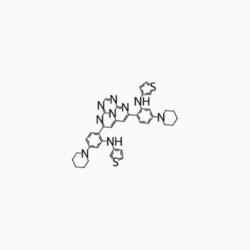 C1=NC2=NC(c3ccc(N4CCCCC4)cc3Nc3ccsc3)=CC3=CC(c4ccc(N5CCCCC5)cc4Nc4ccsc4)=NC(=N1)N32